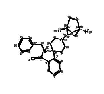 O=C1c2ccccc2C2(CCN([C@@H]3C[C@@H]4CC[C@@H]3C4)CC2)N1Cc1ccccc1